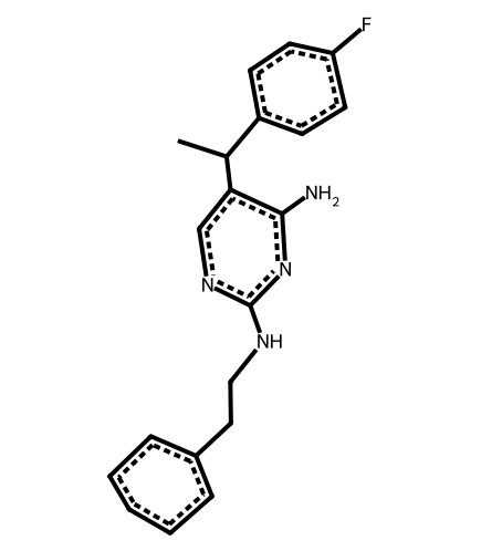 CC(c1ccc(F)cc1)c1cnc(NCCc2ccccc2)nc1N